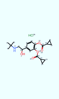 CC(C)(C)NCC(O)c1ccc(OC(=O)C2CC2)c(OC(=O)C2CC2)c1.Cl